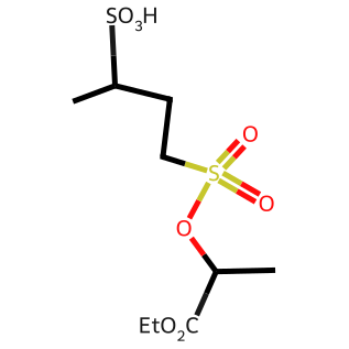 CCOC(=O)C(C)OS(=O)(=O)CCC(C)S(=O)(=O)O